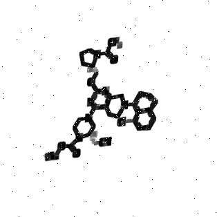 CC(C)(C)OC(=O)N1CCN(c2nc(OC[C@@H]3CCCN3C(=O)C(F)(F)F)nc3c2CCN(c2cccc4cccc(Cl)c24)C3)C[C@@H]1CC#N